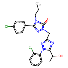 CC(O)c1nc(Cn2nc(-c3ccc(Cl)cc3)n(CCC(F)(F)F)c2=O)nn1-c1ccccc1Cl